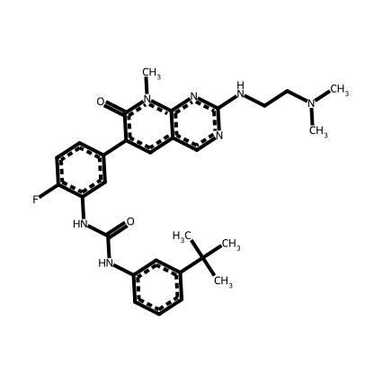 CN(C)CCNc1ncc2cc(-c3ccc(F)c(NC(=O)Nc4cccc(C(C)(C)C)c4)c3)c(=O)n(C)c2n1